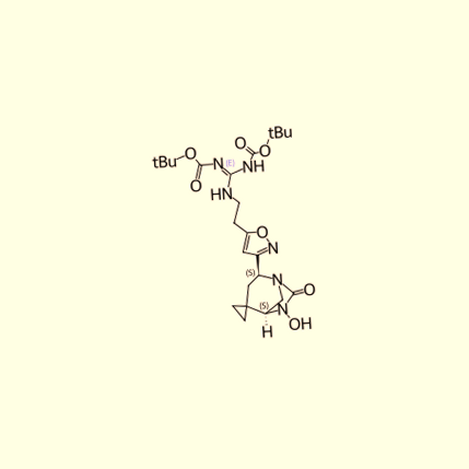 CC(C)(C)OC(=O)/N=C(\NCCc1cc([C@@H]2CC3(CC3)[C@H]3CN2C(=O)N3O)no1)NC(=O)OC(C)(C)C